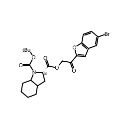 CC(C)(C)OC(=O)N1C2CCCCC2C[C@H]1C(=O)OCC(=O)c1cc2cc(Br)ccc2o1